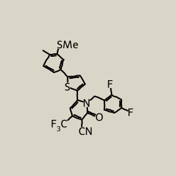 CSc1cc(-c2ccc(-c3cc(C(F)(F)F)c(C#N)c(=O)n3Cc3ccc(F)cc3F)s2)ccc1C